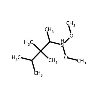 CO[SiH](OC)C(C)C(C)(C)C(C)C